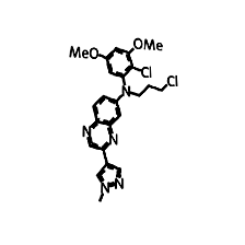 COc1cc(OC)c(Cl)c(N(CCCCl)c2ccc3ncc(-c4cnn(C)c4)nc3c2)c1